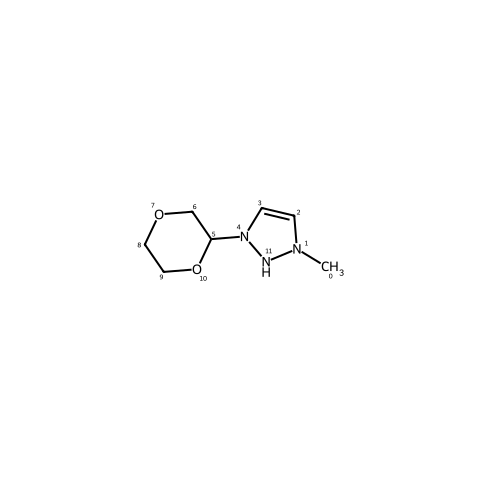 CN1C=CN(C2COCCO2)N1